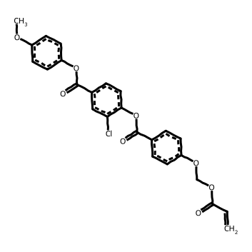 C=CC(=O)OCOc1ccc(C(=O)Oc2ccc(C(=O)Oc3ccc(OC)cc3)cc2Cl)cc1